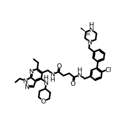 CCc1nc2c(cnn2CC)c(NC2CCOCC2)c1CNC(=O)CCC(=O)NCc1ccc(Cl)c(-c2cccc(CN3CCN[C@H](C)C3)c2)c1